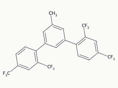 Cc1cc(-c2ccc(C(F)(F)F)cc2C(F)(F)F)cc(-c2ccc(C(F)(F)F)cc2C(F)(F)F)c1